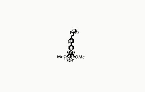 COCCC(CCOC)(C(=O)NO)S(=O)(=O)N1CCC(c2ccc(CCC(F)(F)C(F)(F)F)cn2)CC1